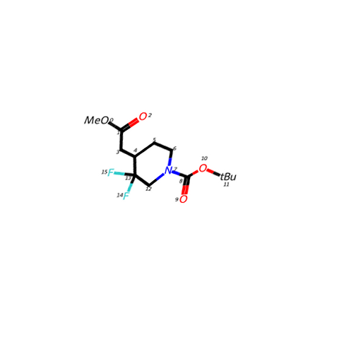 COC(=O)CC1CCN(C(=O)OC(C)(C)C)CC1(F)F